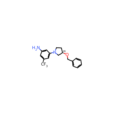 Nc1cc(N2CC[C@@H](OCc3ccccc3)C2)cc(C(F)(F)F)c1